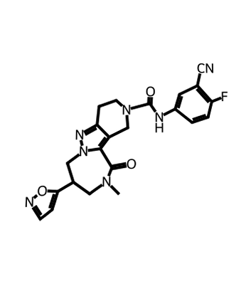 CN1CC(c2ccno2)Cn2nc3c(c2C1=O)CN(C(=O)Nc1ccc(F)c(C#N)c1)CC3